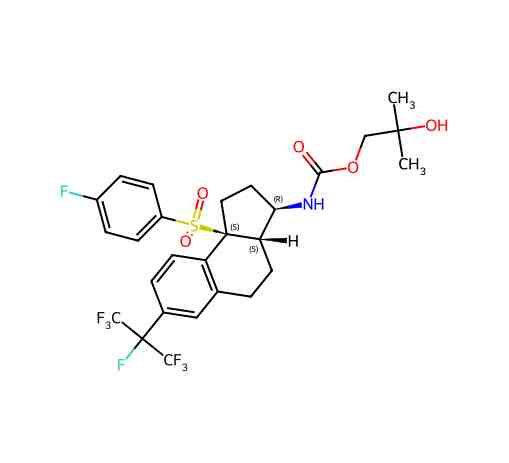 CC(C)(O)COC(=O)N[C@@H]1CC[C@@]2(S(=O)(=O)c3ccc(F)cc3)c3ccc(C(F)(C(F)(F)F)C(F)(F)F)cc3CC[C@@H]12